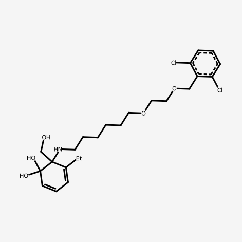 CCC1=CC=CC(O)(O)C1(CO)NCCCCCCOCCOCc1c(Cl)cccc1Cl